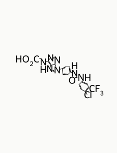 O=C(O)CNc1ncnc2c1ncn2-c1ccc(NC(=O)Nc2ccc(Cl)c(C(F)(F)F)c2)cc1